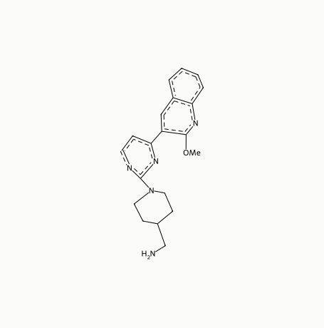 COc1nc2ccccc2cc1-c1ccnc(N2CCC(CN)CC2)n1